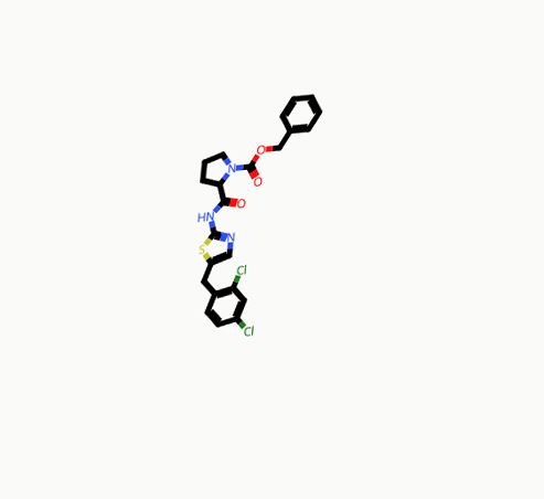 O=C(Nc1ncc(Cc2ccc(Cl)cc2Cl)s1)C1CCCN1C(=O)OCc1ccccc1